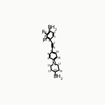 Bc1ccc(C#Cc2ccc(N3CCC(B)CC3)cc2)c(F)c1F